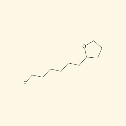 FCCCCCCC1CCCO1